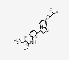 CC[C@H](Nc1nccc(-c2cnc3cc(OCC(F)F)ccn23)n1)[C@@H](F)CN